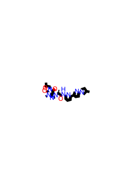 CC(=O)Cn1c(=O)c2c(ncn2[C@@H](C)C(=O)Nc2cccc(-c3ccc(N4CCC(C)C4)nc3)n2)n(C)c1=O